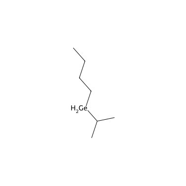 CCC[CH2][GeH2][CH](C)C